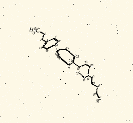 CCCc1ccc([C@H]2CC[C@H]([C@H]3CC[C@H](C=CCCF)CC3)CC2)cc1